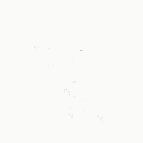 CO[C@@H]1OC(CO)[C@@H](O)C(OCC(=O)N[C@@H](OCCN)C(N)=O)C1O